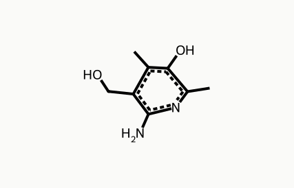 Cc1nc(N)c(CO)c(C)c1O